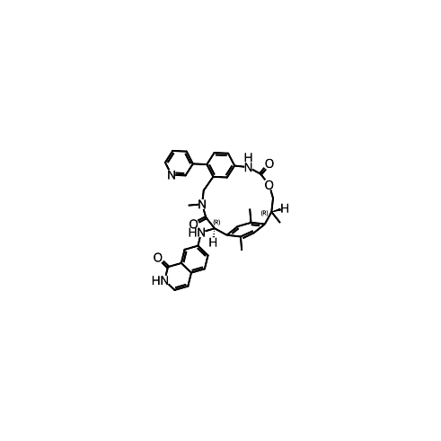 Cc1cc2c(C)cc1[C@@H](C)COC(=O)Nc1ccc(-c3cccnc3)c(c1)CN(C)C(=O)[C@@H]2Nc1ccc2cc[nH]c(=O)c2c1